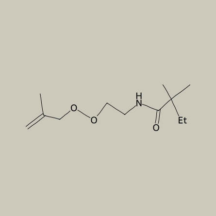 C=C(C)COOCCNC(=O)C(C)(C)CC